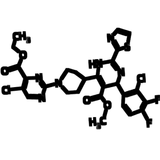 CCOC(=O)c1nc(N2CCC(C3=C(C(=O)OC)C(c4ccc(F)c(F)c4Cl)N=C(c4nccs4)N3)CC2)ncc1Cl